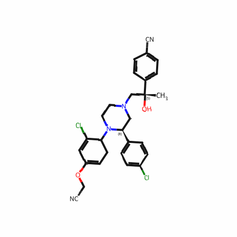 C[C@@](O)(CN1CCN(C2CC=C(OCC#N)C=C2Cl)[C@H](c2ccc(Cl)cc2)C1)c1ccc(C#N)cc1